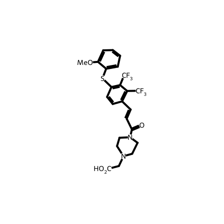 COc1ccccc1Sc1ccc(C=CC(=O)N2CCN(CC(=O)O)CC2)c(C(F)(F)F)c1C(F)(F)F